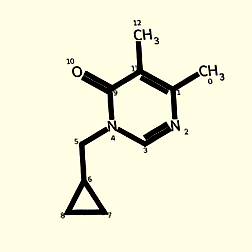 Cc1ncn(CC2CC2)c(=O)c1C